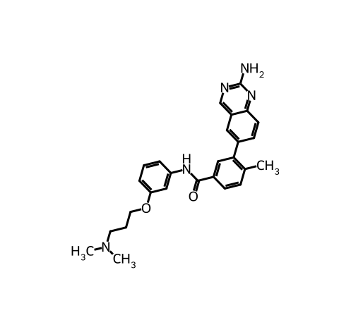 Cc1ccc(C(=O)Nc2cccc(OCCCN(C)C)c2)cc1-c1ccc2nc(N)ncc2c1